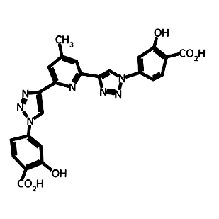 Cc1cc(-c2cn(-c3ccc(C(=O)O)c(O)c3)nn2)nc(-c2cn(-c3ccc(C(=O)O)c(O)c3)nn2)c1